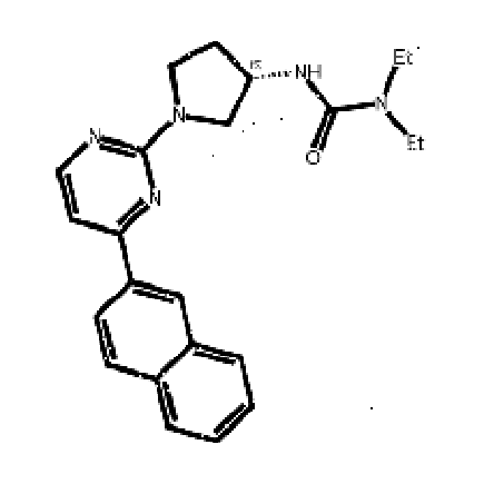 CCN(CC)C(=O)N[C@H]1CCN(c2nccc(-c3ccc4ccccc4c3)n2)C1